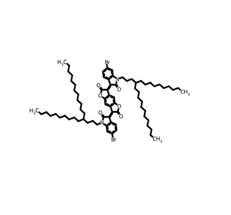 CCCCCCCCCCCCC(CCCCCCCCCC)CCCN1C(=O)/C(=C2/C(=O)Oc3cc4c(cc32)OC(=O)/C4=C2/C(=O)N(CCCC(CCCCCCCCCC)CCCCCCCCCCCC)c3cc(Br)ccc32)c2ccc(Br)cc21